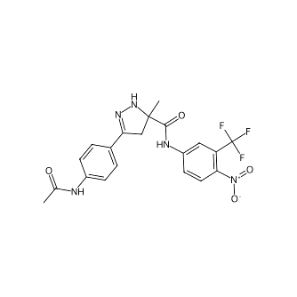 CC(=O)Nc1ccc(C2=NNC(C)(C(=O)Nc3ccc([N+](=O)[O-])c(C(F)(F)F)c3)C2)cc1